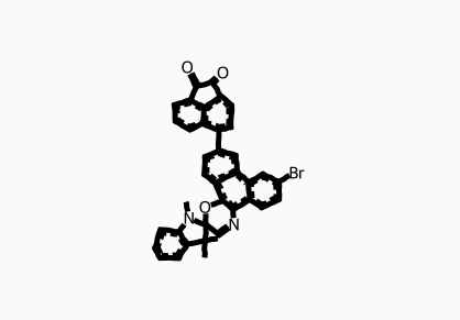 CN1c2ccccc2C(C)(C)C12C=Nc1c(c3ccc(-c4ccc5c6c(cccc46)C(=O)C5=O)cc3c3cc(Br)ccc13)O2